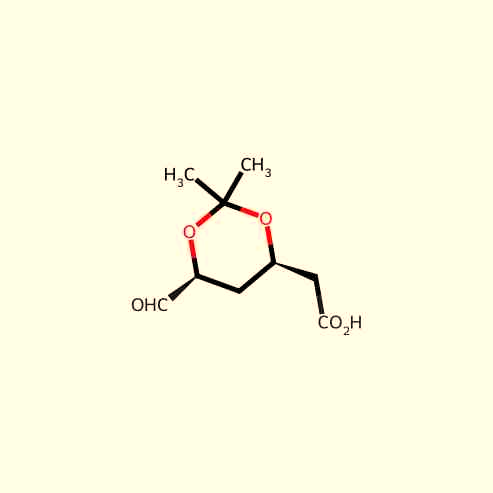 CC1(C)O[C@@H](CC(=O)O)C[C@@H](C=O)O1